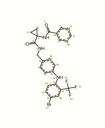 O=C(NC1(C(=O)NCc2ccc(Nc3ccc(Br)cc3C(F)(F)F)cn2)CC1)c1cncnc1